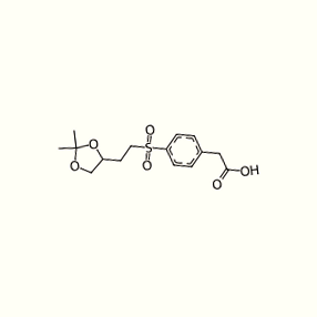 CC1(C)OCC(CCS(=O)(=O)c2ccc(CC(=O)O)cc2)O1